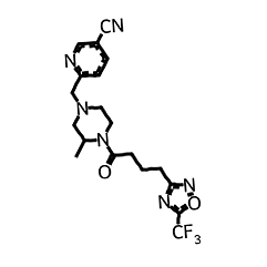 CC1CN(Cc2ccc(C#N)cn2)CCN1C(=O)CCCc1noc(C(F)(F)F)n1